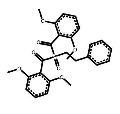 COc1cccc(OC)c1C(=O)P(=O)(CCc1ccccc1)C(=O)c1c(OC)cccc1OC